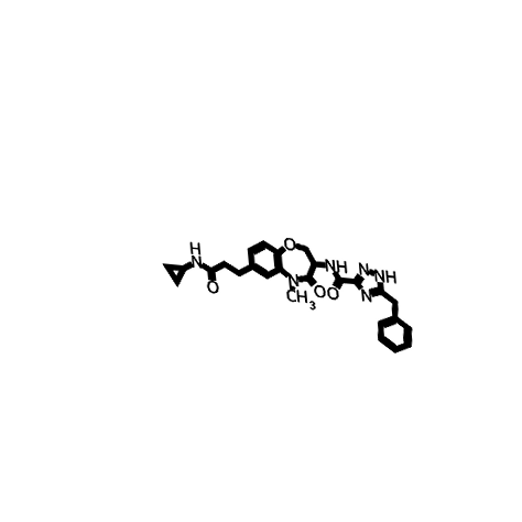 CN1C(=O)C(NC(=O)c2n[nH]c(Cc3ccccc3)n2)COc2ccc(CCC(=O)NC3CC3)cc21